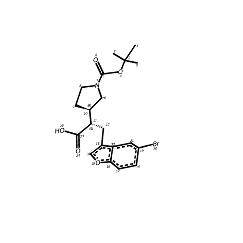 CC(C)(C)OC(=O)N1CC[C@H]([C@H](Cc2coc3ccc(Br)cc23)C(=O)O)C1